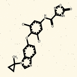 CC1(n2cnc3ccc(Oc4c(Cl)cc(NC(=O)c5noc(=O)[nH]5)cc4Cl)cc32)CC1